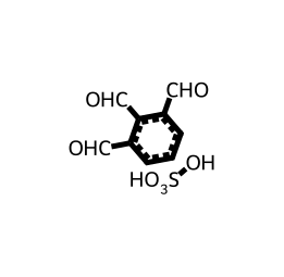 O=Cc1cccc(C=O)c1C=O.O=S(=O)(O)O